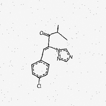 CC(C)C(=O)C(=Cc1ccc(Cl)cc1)n1cncn1